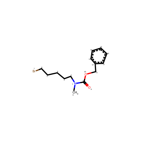 CN(CCCCCBr)C(=O)OCc1ccccc1